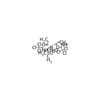 C=C[C@H](CN(C[C@H](C=C)OC(=N)C(Cl)(Cl)Cl)C(=O)OC(C)(C)C)OC(=N)C(Cl)(Cl)Cl